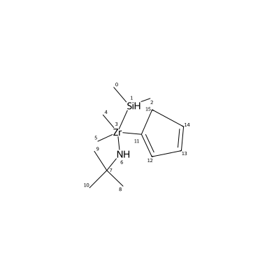 C[SiH](C)[Zr]([CH3])([CH3])([NH]C(C)(C)C)[C]1=CC=CC1